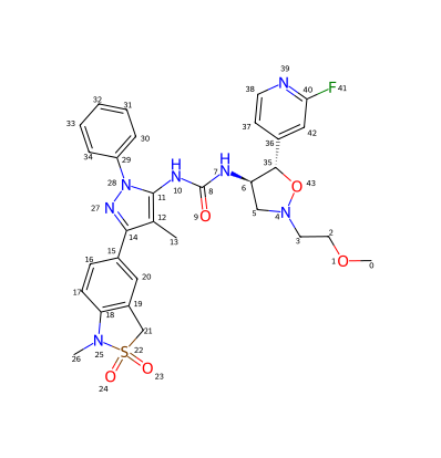 COCCN1C[C@@H](NC(=O)Nc2c(C)c(-c3ccc4c(c3)CS(=O)(=O)N4C)nn2-c2ccccc2)[C@H](c2ccnc(F)c2)O1